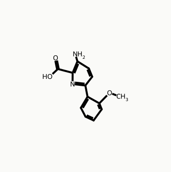 COc1ccccc1-c1ccc(N)c(C(=O)O)n1